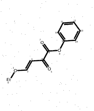 CCOC=CC(=O)C(=O)Oc1ccccc1